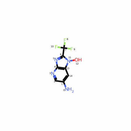 Nc1cnc2nc(C(F)(F)F)n(O)c2c1